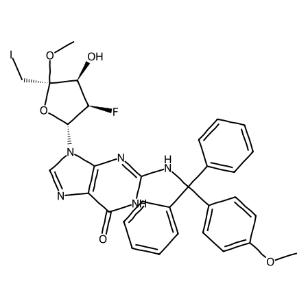 COc1ccc(C(Nc2nc3c(ncn3[C@@H]3O[C@@](CI)(OC)[C@@H](O)[C@H]3F)c(=O)[nH]2)(c2ccccc2)c2ccccc2)cc1